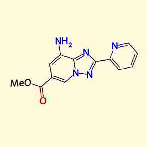 COC(=O)c1cc(N)c2nc(-c3ccccn3)nn2c1